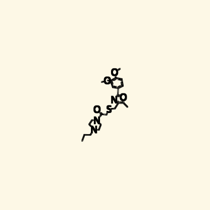 CCCN1CCN(C(=O)CSCc2nc(-c3ccc(OC)c(OC)c3)oc2C)CC1